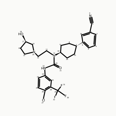 N#Cc1cccc([C@H]2CC[C@H](N(CCN3CC[C@@H](O)C3)C(=O)Nc3ccc(Cl)c(C(F)(F)F)c3)CC2)c1